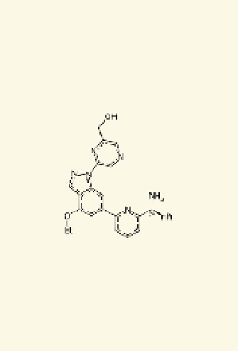 CCC[C@H](N)c1cccc(-c2cc(OCC)c3cnn(-c4cncc(CO)n4)c3c2)n1